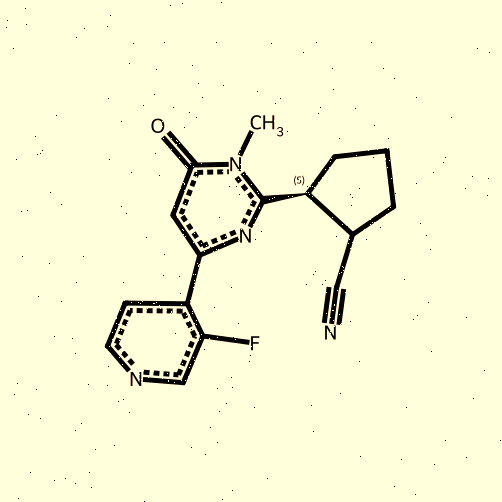 Cn1c([C@H]2CCCC2C#N)nc(-c2ccncc2F)cc1=O